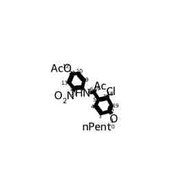 CCCCCOc1ccc(C(Nc2ccc(OC(C)=O)cc2[N+](=O)[O-])C(C)=O)c(Cl)c1